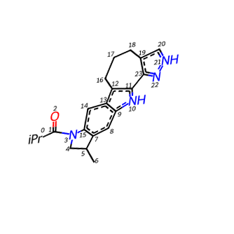 CC(C)C(=O)N1CC(C)c2cc3[nH]c4c(c3cc21)CCCc1c[nH]nc1-4